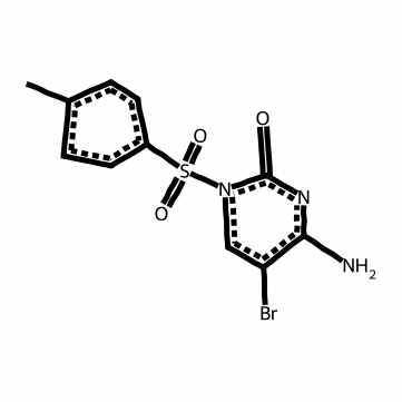 Cc1ccc(S(=O)(=O)n2cc(Br)c(N)nc2=O)cc1